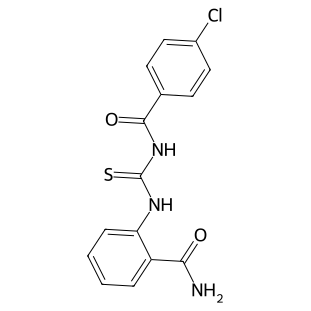 NC(=O)c1ccccc1NC(=S)NC(=O)c1ccc(Cl)cc1